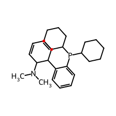 CN(C)C1C=CC=CC1c1ccccc1P(C1CCCCC1)C1CCCCC1